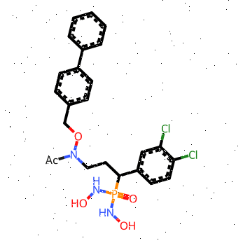 CC(=O)N(CCC(c1ccc(Cl)c(Cl)c1)P(=O)(NO)NO)OCc1ccc(-c2ccccc2)cc1